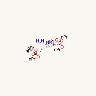 CCCO[Si](CCCC(N)(CN)CCC[Si](OCCC)(OCCC)OCCC)(OCCC)OCCC